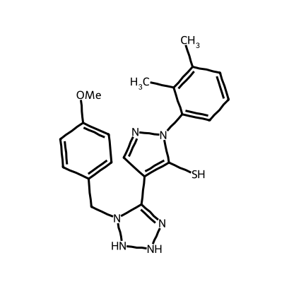 COc1ccc(CN2NNN=C2c2cnn(-c3cccc(C)c3C)c2S)cc1